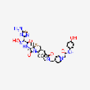 Nc1nc(C(=NO)C(=O)N[C@@H]2C(=O)N3C(C(=O)[O-])=C(C=C4CCN(Cc5cc[n+](CC(=O)Nc6ccc(O)cc6)cc5)C4=O)CS[C@H]23)ns1